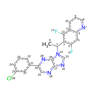 CC(c1c(F)cc2ncccc2c1F)n1cnc2ncc(-c3cccc(Cl)c3)nc21